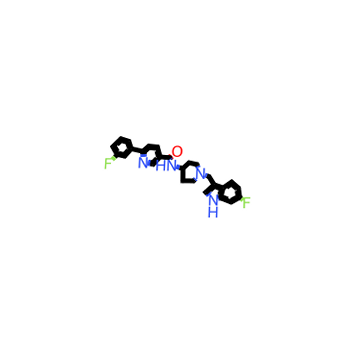 O=C(NC1CCN(Cc2c[nH]c3cc(F)ccc23)CC1)c1ccc(-c2cccc(F)c2)nc1